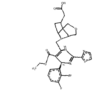 CCOC(=O)C1=C(CN2C3COCC34C(CC(=O)O)CC24)NC(c2nccs2)=N[C@H]1c1cccc(F)c1Br